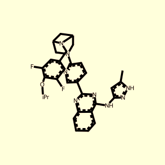 Cc1cc(Nc2nc(-c3ccc(N4CC5CC(C4)N5Cc4cc(F)c(OC(C)C)c(F)c4)nc3)nc3ccccc23)n[nH]1